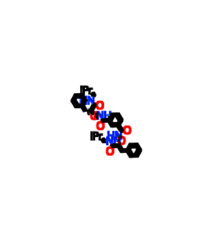 CC(C)CNC(=O)C(Cc1ccccc1)ONC(=O)c1cccc(C(=O)NO[C@H](Cc2ccccc2)C(=O)NCC(C)C)c1